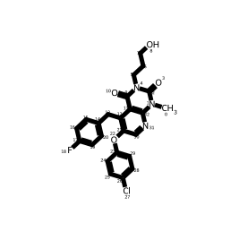 Cn1c(=O)n(CCCO)c(=O)c2c(Cc3ccc(F)cc3)c(Oc3ccc(Cl)cc3)cnc21